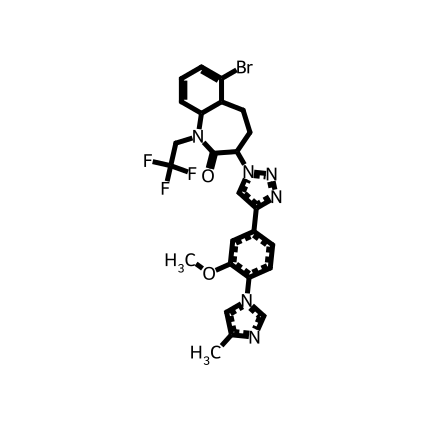 COc1cc(-c2cn(C3CCC4C(Br)=CC=CC4N(CC(F)(F)F)C3=O)nn2)ccc1-n1cnc(C)c1